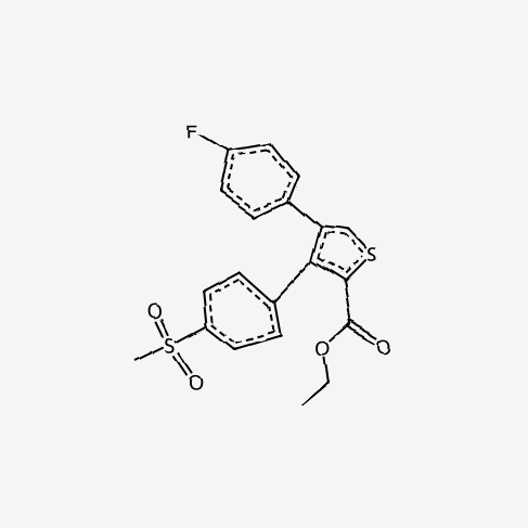 CCOC(=O)c1scc(-c2ccc(F)cc2)c1-c1ccc(S(C)(=O)=O)cc1